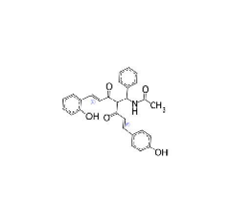 CC(=O)NC(c1ccccc1)C(C(=O)/C=C/c1ccc(O)cc1)C(=O)/C=C/c1ccccc1O